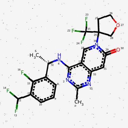 Cc1nc(N[C@@H](C)c2cccc(C(F)F)c2F)c2cn(C3(C(F)(F)F)CCOC3)c(=O)cc2n1